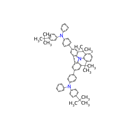 CC(C)(C)c1ccc(N(c2ccccc2)c2ccc(-c3cc4c5c(c3)c3cc(-c6ccc(N(c7ccccc7)c7ccc(C(C)(C)C)cc7)cc6)cc6c3n5-c3c(cccc3C6(C)C)C4(C)C)cc2)cc1